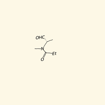 CCC(=O)N(C)[C@@H](C)C=O